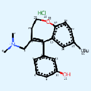 CN(C)CC1=C(c2cccc(O)c2)c2cc(C(C)(C)C)ccc2OCC1.Cl